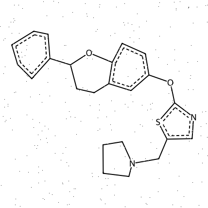 c1ccc(C2CCc3cc(Oc4ncc(CN5CCCC5)s4)ccc3O2)cc1